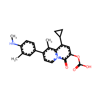 CNc1ccc(-c2ccn3c(=O)c(OC(=O)O)cc(C4CC4)c3c2C)cc1C